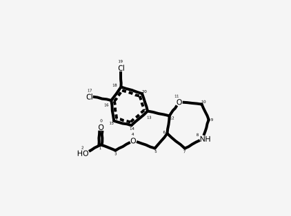 O=C(O)COCC1CNCCOC1c1ccc(Cl)c(Cl)c1